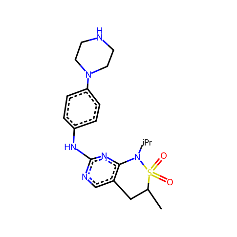 CC(C)N1c2nc(Nc3ccc(N4CCNCC4)cc3)ncc2CC(C)S1(=O)=O